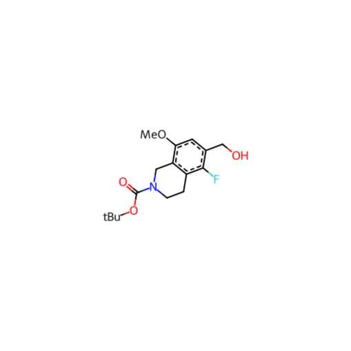 COc1cc(CO)c(F)c2c1CN(C(=O)OC(C)(C)C)CC2